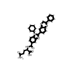 NC(=O)CCC(NC(=O)c1ccc2c(c1)nc(-c1ccc3nc(-c4ccccc4)cnc3c1)n2C1CCCCC1)C(=O)O